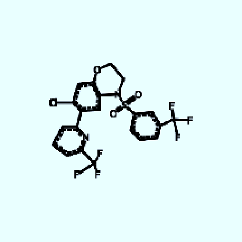 O=S(=O)(c1cccc(C(F)(F)F)c1)N1CCOc2cc(Cl)c(-c3cccc(C(F)(F)F)n3)cc21